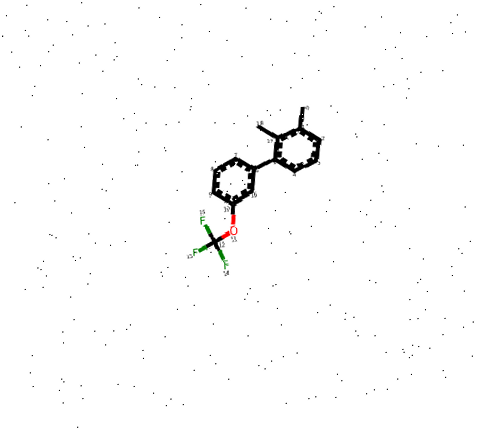 Cc1cccc(-c2[c]ccc(OC(F)(F)F)c2)c1C